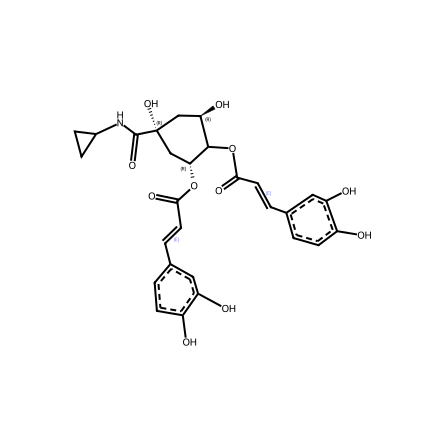 O=C(/C=C/c1ccc(O)c(O)c1)OC1[C@H](O)C[C@](O)(C(=O)NC2CC2)C[C@H]1OC(=O)/C=C/c1ccc(O)c(O)c1